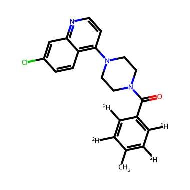 [2H]c1c([2H])c(C(=O)N2CCN(c3ccnc4cc(Cl)ccc34)CC2)c([2H])c([2H])c1C